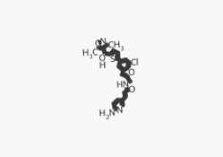 Cc1noc(C)c1C(O)c1ccc(-c2cc(Cl)c3oc(CNC(=O)/C=C/c4ccc(N)nc4)cc3c2)s1